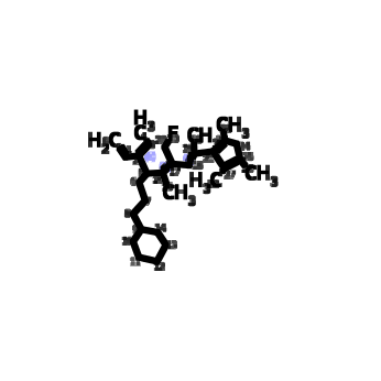 C=C/C(=C\C)C(CCCC1CCCCC1)/C(C)=C(/C=C(\C)C1=C(C)CC(C)=C1C)CF